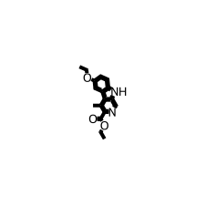 CCOC(=O)c1ncc2[nH]c3ccc(OCC)cc3c2c1C